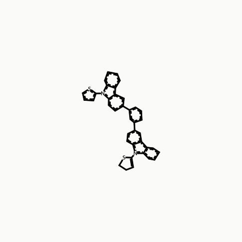 C1=C(n2c3ccccc3c3cc(-c4cccc(-c5ccc6c(c5)c5ccccc5n6-c5cccs5)c4)ccc32)SCC1